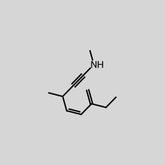 C=C(/C=C\C(C)C#CNC)CC